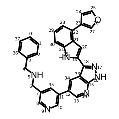 c1ccc(CNCc2cncc(-c3cnc4[nH]nc(-c5cc6c(-c7ccoc7)cccc6[nH]5)c4c3)c2)cc1